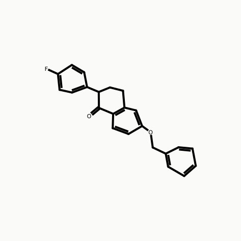 O=C1c2ccc(OCc3ccccc3)cc2CCC1c1ccc(F)cc1